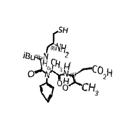 CC[C@H](C)[C@H](NC[C@@H](N)CS)C(=O)N(c1ccccc1)[C@@H](C)C(=O)N[C@@H](CC(=O)O)C(C)O